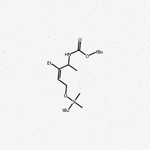 CCC(=CCO[Si](C)(C)C(C)(C)C)C(C)NC(=O)OC(C)(C)C